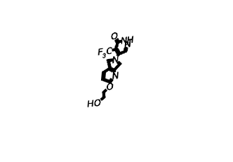 O=c1[nH]ncc(N2Cc3ccc(OCCO)nc3C2)c1C(F)(F)F